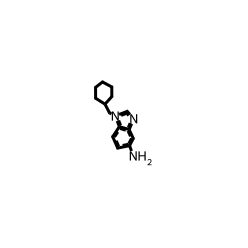 Nc1ccc2c(c1)ncn2CC1CCCCC1